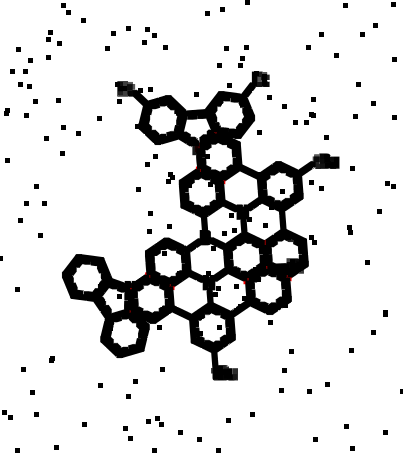 CCc1ccc2c(c1)c1cc(CC)ccc1n2-c1ccc2c(c1)N(c1c(-c3ccccc3)cc(C(C)(C)C)cc1-c1ccccc1)c1cc(C(C)C)cc3c1B2c1ccc(-n2c4ccccc4c4ccccc42)cc1N3c1c(-c2ccccc2)cc(C(C)(C)C)cc1-c1ccccc1